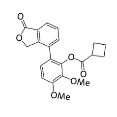 COc1ccc(-c2cccc3c2COC3=O)c(OC(=O)C2CCC2)c1OC